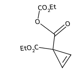 CCOC(=O)OC(=O)C1(C(=O)OCC)C=C1